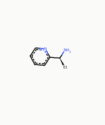 CC[C@H](N)c1ccccn1